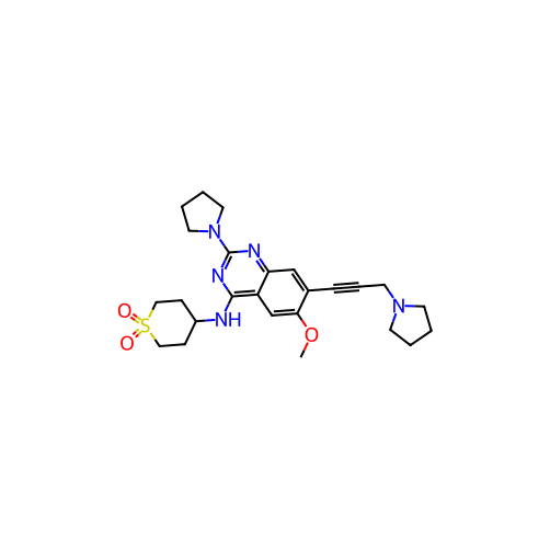 COc1cc2c(NC3CCS(=O)(=O)CC3)nc(N3CCCC3)nc2cc1C#CCN1CCCC1